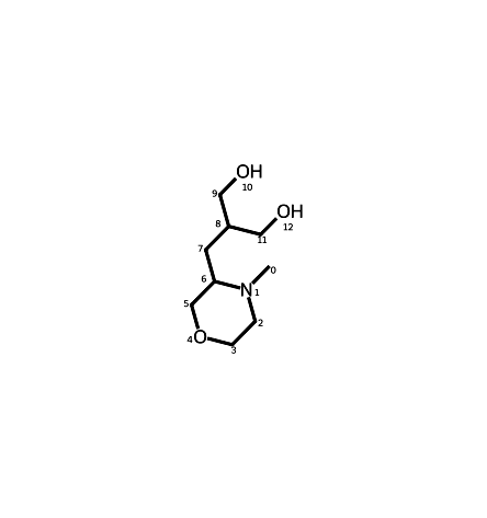 CN1CCOCC1CC(CO)CO